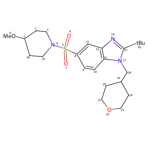 COC1CCN(S(=O)(=O)c2ccc3c(c2)nc(C(C)(C)C)n3CC2CCOCC2)CC1